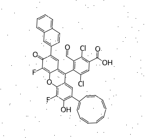 O=Cc1c(Cl)c(C(=O)O)cc(Cl)c1-c1c2cc(-c3ccc4ccccc4c3)c(=O)c(F)c-2oc2c(F)c(O)c(-c3ccccccccc3)cc12